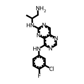 CC(CN)Nc1ncc2ncnc(Nc3ccc(F)c(Cl)c3)c2n1